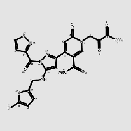 COC(=O)C(=O)Cn1cc(C(=O)OC)c(-c2cc(NCc3ccc(Cl)s3)n(C(=O)c3ccsn3)n2)cc1=O